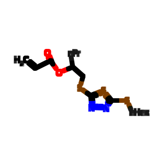 C=CC(=O)OC(CCC)CSc1nnc(SCCCCCC)s1